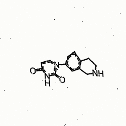 O=c1ccn(-c2ccc3c(c2)CNCC3)c(=O)[nH]1